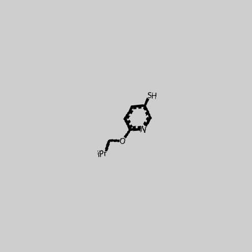 CC(C)COc1ccc(S)cn1